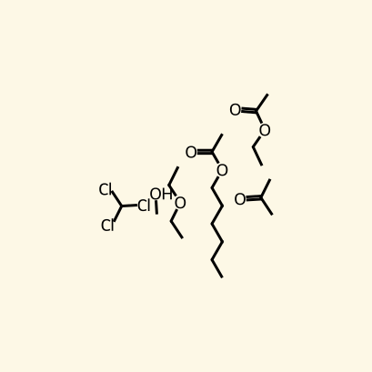 CC(C)=O.CCCCCCOC(C)=O.CCOC(C)=O.CCOCC.CO.ClC(Cl)Cl